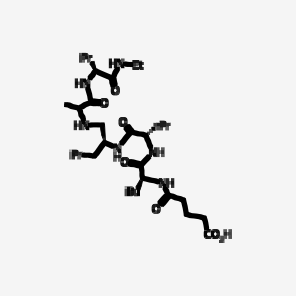 CCC[C@H](NC(=O)[C@@H](NC(=O)CCCC(=O)O)C(C)CC)C(=O)N[C@H](CNC(C)C(=O)N[C@H](C(=O)NCC)C(C)C)CC(C)C